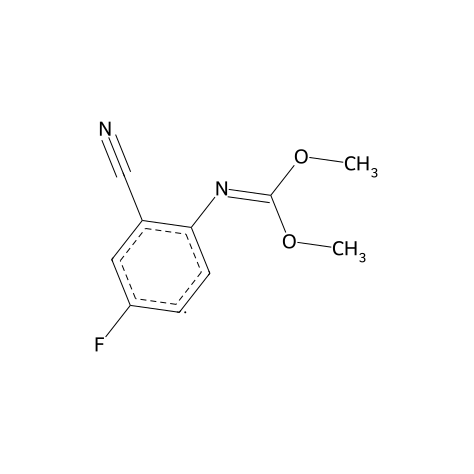 COC(=Nc1c[c]c(F)cc1C#N)OC